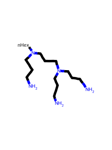 CCCCCCN(CCCN)CCCN(CCCN)CCCN